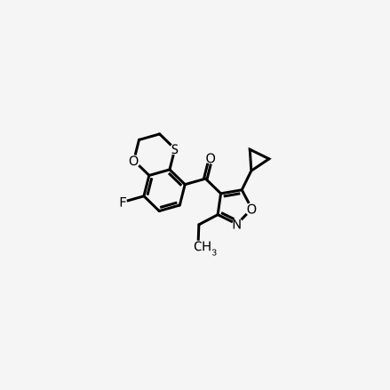 CCc1noc(C2CC2)c1C(=O)c1ccc(F)c2c1SCCO2